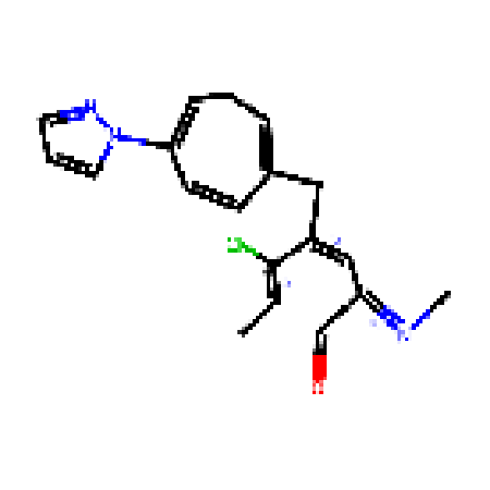 C/C=C(Cl)/C(=C\C(C=O)=N/C)CC1=CCC=C(n2cccn2)C=C1